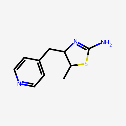 CC1SC(N)=NC1Cc1ccncc1